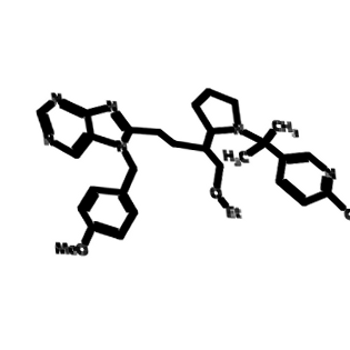 CCOCC(CCc1nc2ncncc2n1Cc1ccc(OC)cc1)C1CCCN1C(C)(C)c1ccc(C)nc1